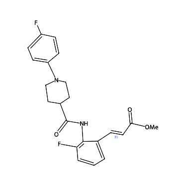 COC(=O)/C=C/c1cccc(F)c1NC(=O)C1CCN(c2ccc(F)cc2)CC1